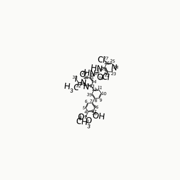 COC(=O)c1ccc(-c2cccc(-c3cc(NC(=O)Nc4c(Cl)cncc4Cl)c(=O)n(C(C)I)n3)c2)cc1O